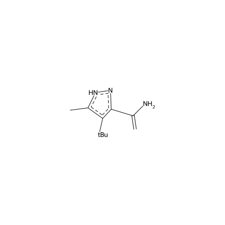 C=C(N)c1n[nH]c(C)c1C(C)(C)C